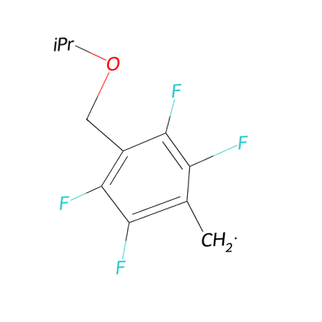 [CH2]c1c(F)c(F)c(COC(C)C)c(F)c1F